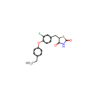 O=C(O)Cc1ccc(Oc2ccc(CC3SC(=O)NC3=O)cc2F)cc1